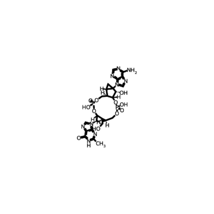 Cc1nc2c(ncn2[C@@H]2O[C@@H]3COP(=O)(O)O[C@@H]4[C@@H](COP(=O)(O)O[C@@H]2[C@@H]3CO)[C@@H]2CC2(n2cnc3c(N)ncnc32)[C@@H]4O)c(=O)[nH]1